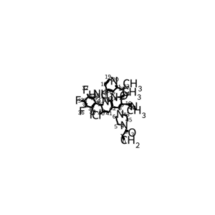 C=CC(=O)N1CCN(c2c(C#N)c(=O)n(-c3c(C)ccnc3C(C)C)c3nc(-c4c(N)c(F)c(F)c(F)c4F)c(Cl)cc23)[C@@H](C)C1